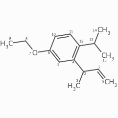 C=C[C](C)c1cc(OCC)ccc1C(C)C